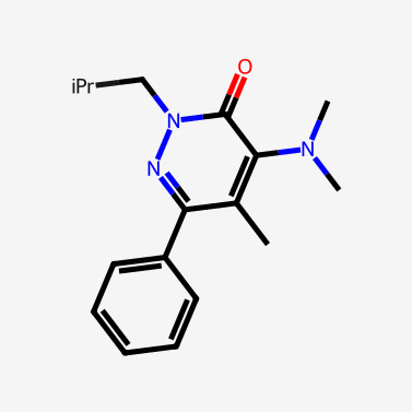 Cc1c(-c2ccccc2)nn(CC(C)C)c(=O)c1N(C)C